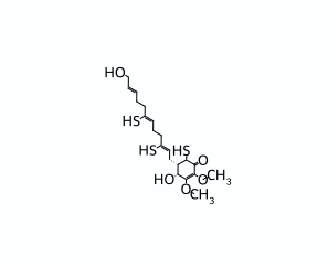 COC1=C(OC)[C@H](O)[C@H](C/C=C(\S)CC/C=C(\S)CC/C=C/CO)[C@@H](S)C1=O